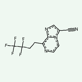 N#Cc1cnc2c(CCC(F)(F)C(F)(F)F)nccn12